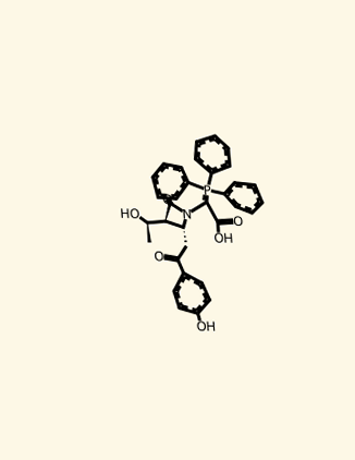 C[C@@H](O)[C@H]1C(=O)N(C(C(=O)O)=P(c2ccccc2)(c2ccccc2)c2ccccc2)[C@@H]1CC(=O)c1ccc(O)cc1